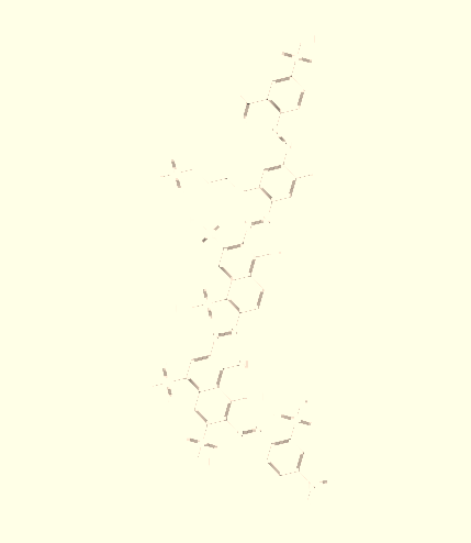 Cc1cc(N=Nc2c(S(=O)(=O)O)cc3c(S(=O)(=O)O)c(N=Nc4cc(S(=O)(=O)O)c5cc(S(=O)(=O)O)c(N=Nc6ccc([N+](=O)[O-])cc6S(=O)(=O)O)c(O)c5c4N)ccc3c2O)c(OCCCS(=O)(=O)O)cc1N=Nc1ccc(S(=O)(=O)O)cc1C(=O)O